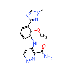 Cn1cnc(-c2cccc(Nc3ccnnc3C(N)=O)c2OC(F)(F)F)n1